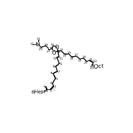 C=C(/C=C\CCCCCCCCC1(CCCCCCCC/C=C\CCCCCCCC)OC[C@H](CCCN(C)C)O1)CCCCCCC